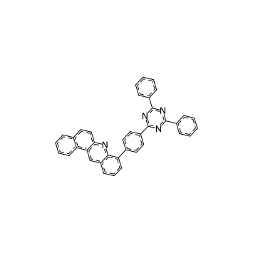 c1ccc(-c2nc(-c3ccccc3)nc(-c3ccc(-c4cccc5cc6c(ccc7ccccc76)nc45)cc3)n2)cc1